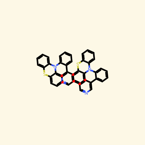 c1ccc2c(c1)Sc1ccccc1N2c1ccccc1-c1cncc(-c2cncc(-c3ccccc3N3c4ccccc4Sc4ccccc43)c2)c1